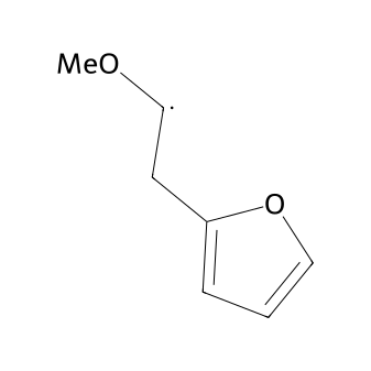 CO[CH]Cc1ccco1